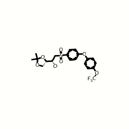 CC1(C)OC[C@@H]([C@@H]([O])CS(=O)(=O)c2ccc(Oc3ccc(OC(F)(F)F)cc3)cc2)O1